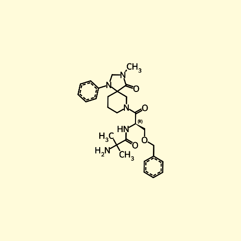 CN1CN(c2ccccc2)C2(CCCN(C(=O)[C@@H](COCc3ccccc3)NC(=O)C(C)(C)N)C2)C1=O